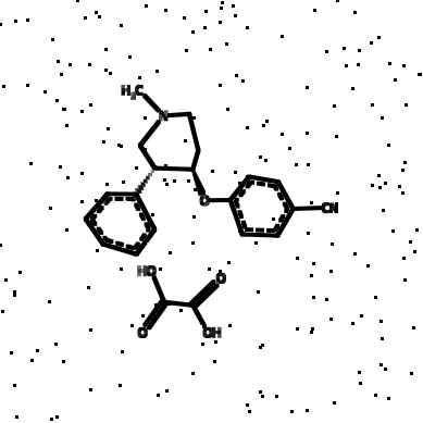 CN1CC[C@@H](Oc2ccc(C#N)cc2)[C@H](c2ccccc2)C1.O=C(O)C(=O)O